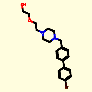 OCCOCCN1CCN(Cc2ccc(-c3ccc(Br)cc3)cc2)CC1